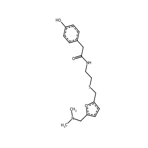 CN(C)Cc1ccc(CSCCNC(=O)Cc2ccc(O)cc2)o1